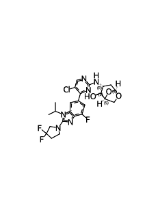 CC(C)n1c(N2CCC(F)(F)C2)nc2c(F)cc(-c3nc(N[C@@H]4C[C@H]5OC[C@H](O5)[C@H]4O)ncc3Cl)cc21